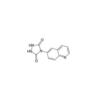 O=c1[nH][nH]c(=O)n1-c1ccc2ncccc2c1